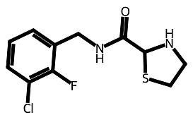 O=C(NCc1cccc(Cl)c1F)C1NCCS1